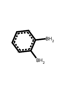 Bc1[c]cc[c]c1B